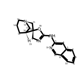 c1ccc2cc(NC3=NC[C@@]4(C[N@]5CCC[C@H]4C5)O3)ncc2c1